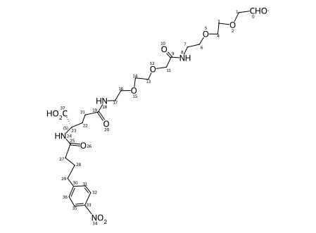 O=[C]COCCOCCNC(=O)COCCOCCNC(=O)CC[C@H](NC(=O)CCCc1ccc([N+](=O)[O-])cc1)C(=O)O